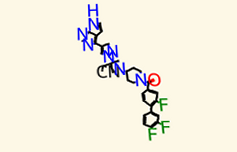 N#CCC1(n2cc(-c3ncnc4[nH]ccc34)cn2)CN(C2CCN(C(=O)c3ccc(-c4ccc(F)c(F)c4)c(F)c3)CC2)C1